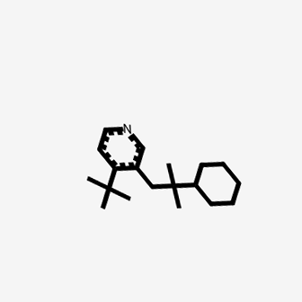 CC(C)(C)c1ccncc1CC(C)(C)C1CCCCC1